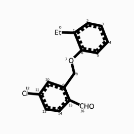 CCc1ccccc1OCc1cc(Cl)ccc1C=O